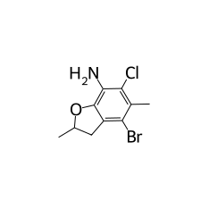 Cc1c(Cl)c(N)c2c(c1Br)CC(C)O2